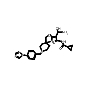 N#CCC1(n2cc(C(N)O)c(NC(=O)C3CC3)n2)CCN(Cc2ccc(-n3cncn3)cc2)CC1